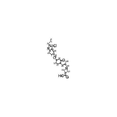 CCCn1nc2ccc(COc3ccc4c(c3)OCC(CN3CC(C(=O)O)C3)=C4)cc2c1Cl